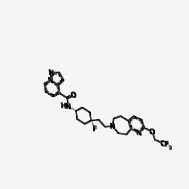 O=C(N[C@H]1CC[C@](F)(CCN2CCc3ccc(OCC(F)(F)F)nc3CC2)CC1)c1cccn2nccc12